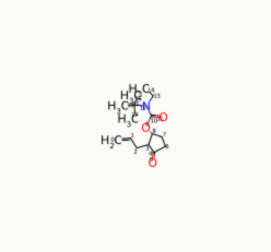 C=CCC1C(=O)CCC1OC(=O)N(CC)C(C)(C)C